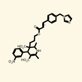 CC1=C(C(=O)O)C(c2cccc([N+](=O)[O-])c2)C(CCCOC(=O)/C=C/c2ccc(Cn3ccnc3)cc2)(C(=O)O)C(C)N1